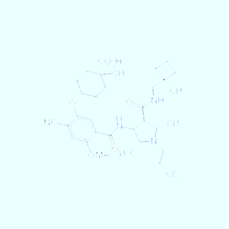 COc1cc(C#N)c(O[C@H]2CC[C@@](C)(C(=O)O)CC2)cc1C(=O)NC1C(C(=O)NCC2(C)CCC2)[C@H](C)N(CCC(F)(F)F)[C@@H]1C